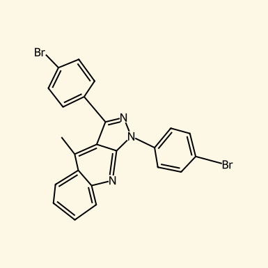 Cc1c2ccccc2nc2c1c(-c1ccc(Br)cc1)nn2-c1ccc(Br)cc1